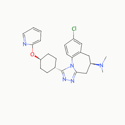 CN(C)[C@@H]1Cc2cc(Cl)ccc2-n2c(nnc2[C@H]2CC[C@H](Oc3ccccn3)CC2)C1